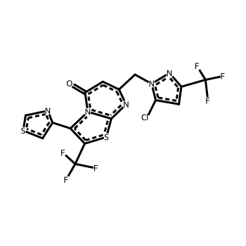 O=c1cc(Cn2nc(C(F)(F)F)cc2Cl)nc2sc(C(F)(F)F)c(-c3cscn3)n12